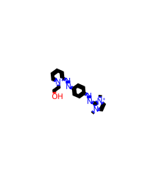 Cn1cc[n+](C)c1N=Nc1ccc(N=Nc2cccc[n+]2CCO)cc1